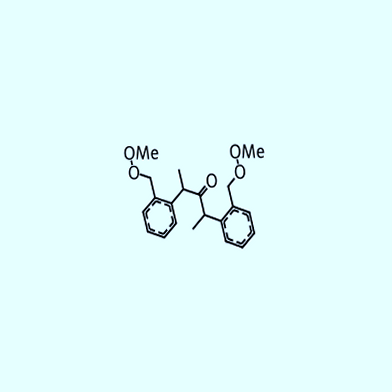 COOCc1ccccc1C(C)C(=O)C(C)c1ccccc1COOC